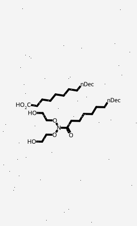 CCCCCCCCCCCCCCCCC(=O)N(OCCO)OCCO.CCCCCCCCCCCCCCCCCC(=O)O